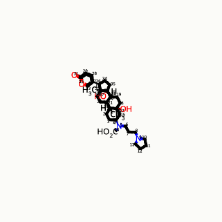 C[C@]12CC[C@H](N(CCCN3CCCC3)C(=O)O)C[C@@]1(O)CC[C@@H]1[C@@H]2CC[C@]2(C)[C@@H](c3ccc(=O)oc3)CC[C@]12O